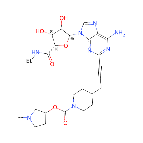 CCNC(=O)[C@H]1O[C@@H](n2cnc3c(N)nc(C#CCC4CCN(C(=O)OC5CCN(C)C5)CC4)nc32)C(O)[C@H]1O